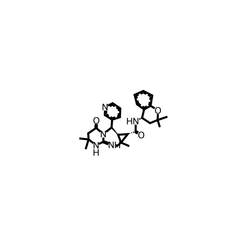 CC1(C)CC(=O)N(C(c2cccnc2)[C@H]2[C@H](C(=O)N[C@H]3CC(C)(C)Oc4ccccc43)C2(C)C)C(=N)N1